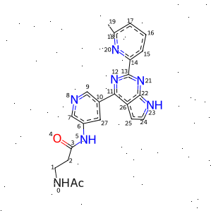 CC(=O)NCCC(=O)Nc1cncc(-c2nc(-c3cccc(C)n3)nc3[nH]ccc23)c1